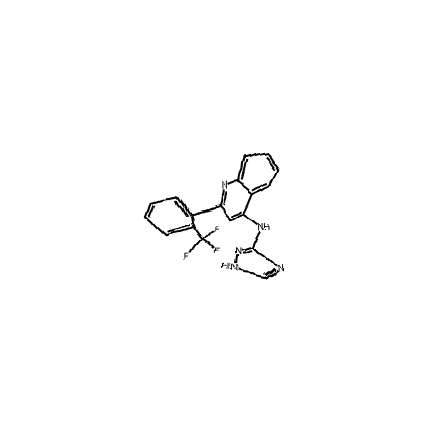 FC(F)(F)c1ccccc1-c1cc(Nc2nc[nH]n2)c2ccccc2n1